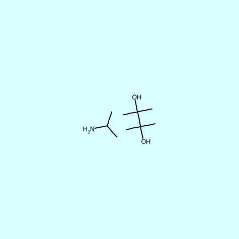 CC(C)(O)C(C)(C)O.CC(C)N